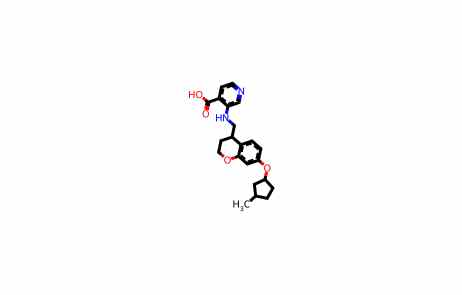 CC1CCC(Oc2ccc3c(c2)OCCC3CNc2cnccc2C(=O)O)C1